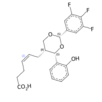 O=C(O)CC/C=C\C[C@@H]1CO[C@H](c2cc(F)c(F)c(F)c2)O[C@@H]1c1ccccc1O